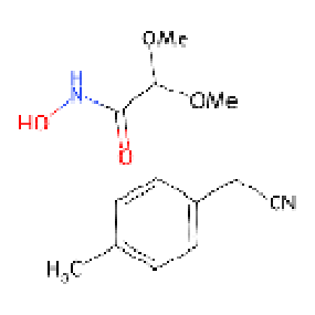 COC(OC)C(=O)NO.Cc1ccc(CC#N)cc1